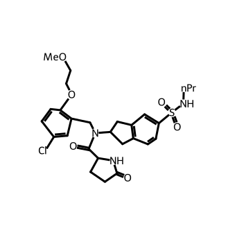 CCCNS(=O)(=O)c1ccc2c(c1)CC(N(Cc1cc(Cl)ccc1OCCOC)C(=O)C1CCC(=O)N1)C2